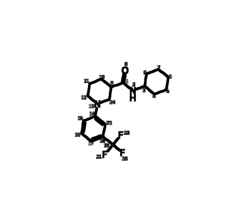 O=C(NC1CCCCC1)C1CCCN(c2cccc(C(F)(F)F)c2)C1